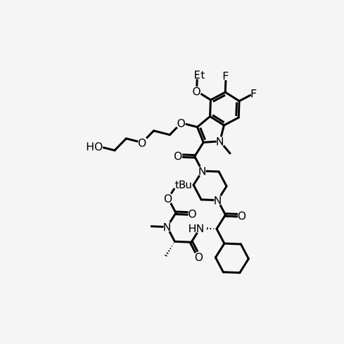 CCOc1c(F)c(F)cc2c1c(OCCOCCO)c(C(=O)N1CCN(C(=O)[C@@H](NC(=O)[C@H](C)N(C)C(=O)OC(C)(C)C)C3CCCCC3)CC1)n2C